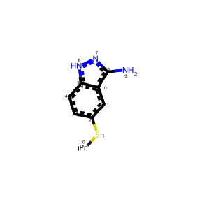 CC(C)Sc1ccc2[nH]nc(N)c2c1